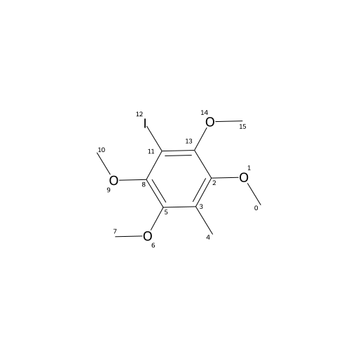 COc1c(C)c(OC)c(OC)c(I)c1OC